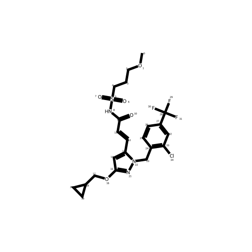 COCCCS(=O)(=O)NC(=O)C=Cc1cc(OCC2CC2)nn1Cc1ccc(C(F)(F)F)cc1Cl